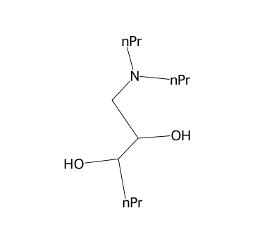 CCCC(O)C(O)CN(CCC)CCC